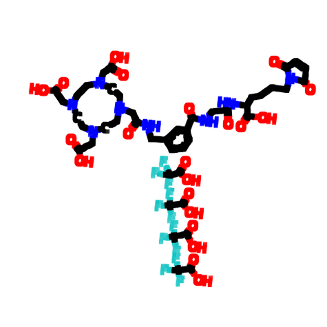 O=C(O)C(F)(F)F.O=C(O)C(F)(F)F.O=C(O)C(F)(F)F.O=C(O)C(F)(F)F.O=C(O)CN1CCN(CC(=O)O)CCN(CC(=O)NCc2cccc(C(=O)NCC(=O)NC(CCCCN3C(=O)C=CC3=O)C(=O)O)c2)CCN(CC(=O)O)CC1